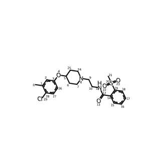 Cc1cc(OC2CCN(CCNC(=O)c3ccccc3S(C)(=O)=O)CC2)ccc1Cl